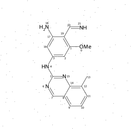 COc1cc(Nc2ncc3cccc(C)c3n2)cc(N)c1C=N